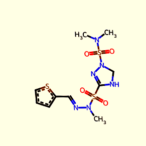 CN(/N=C/c1cccs1)S(=O)(=O)C1=NN(S(=O)(=O)N(C)C)CN1